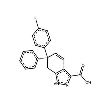 O=C(O)c1n[nH]c2c1C=C[C@](c1ccccc1)(c1ccc(F)cc1)C2